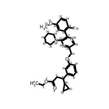 CCOC(=O)CC(c1cccc(OCc2cnc(-c3cc(OC)ccc3F)c(N3CCCCC3)n2)c1)C1CC1